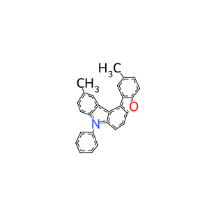 Cc1ccc2oc3ccc4c(c5cc(C)ccc5n4-c4ccccc4)c3c2c1